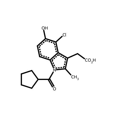 Cc1c(CC(=O)O)c2c(Cl)c(O)ccc2n1C(=O)C1CCCC1